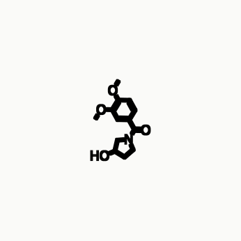 COc1ccc(C(=O)N2CCC(O)C2)cc1OC